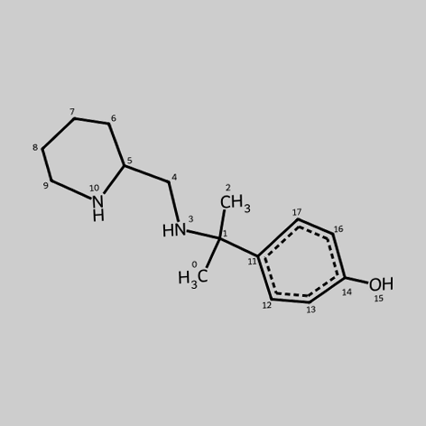 CC(C)(NCC1CCCCN1)c1ccc(O)cc1